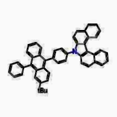 CC(C)(C)c1ccc2c(-c3ccc(-n4c5ccc6ccccc6c5c5c6ccccc6ccc54)cc3)c3ccccc3c(-c3ccccc3)c2c1